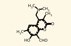 Cc1cc2c(CN(C)C)c(C)c(=O)oc2c(C=O)c1O